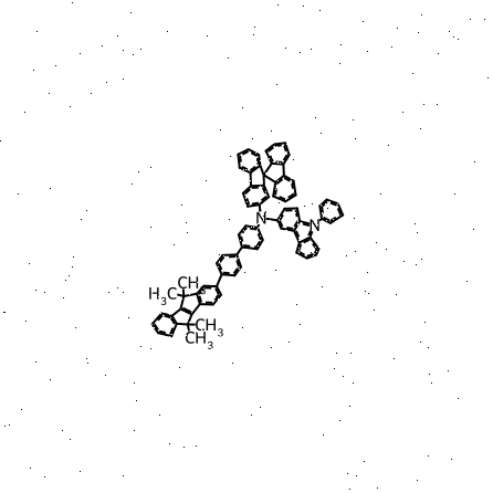 CC1(C)C2=C(c3ccccc31)C(C)(C)c1cc(-c3ccc(-c4ccc(N(c5ccc6c(c5)C5(c7ccccc7-c7ccccc75)c5ccccc5-6)c5ccc6c(c5)c5ccccc5n6-c5ccccc5)cc4)cc3)ccc12